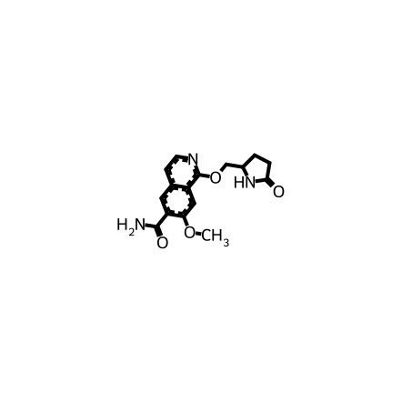 COc1cc2c(OCC3CCC(=O)N3)nccc2cc1C(N)=O